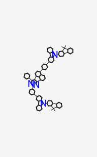 CC1(C)c2ccccc2-c2ccc(-n3c4ccccc4c4cc(-c5ccc(-c6ccc7c8c(cccc68)-c6nc(-c8cccc(-c9ccc%10c(c9)c9ccccc9n%10-c9ccc%10c(c9)C(C)(C)c9ccccc9-%10)c8)nc(-c8ccccc8)c6-7)cc5)ccc43)cc21